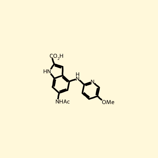 COc1ccc(Nc2cc(NC(C)=O)cc3[nH]c(C(=O)O)cc23)nc1